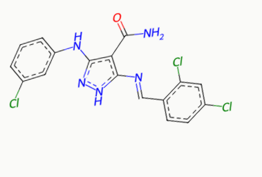 NC(=O)c1c(Nc2cccc(Cl)c2)n[nH]c1/N=C/c1ccc(Cl)cc1Cl